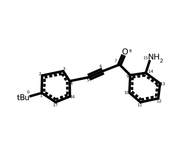 CC(C)(C)c1ccc(C#CC(=O)c2ccccc2N)cc1